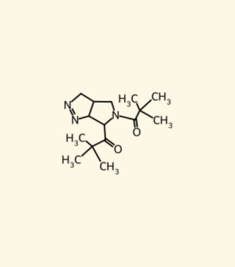 CC(C)(C)C(=O)C1C2N=NCC2CN1C(=O)C(C)(C)C